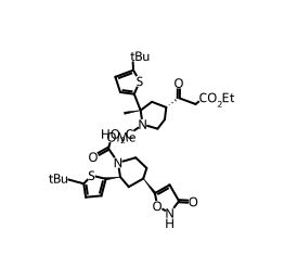 CCOC(=O)CC(=O)[C@@H]1CCN(C(=O)O)[C@](C)(c2ccc(C(C)(C)C)s2)C1.COC(=O)N1CC[C@@H](c2cc(=O)[nH]o2)C[C@H]1c1ccc(C(C)(C)C)s1